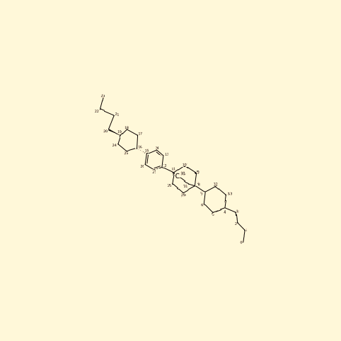 CCCCC1CCC(C23CCC(c4ccc([C@H]5CC[C@H](CCCC)CC5)cc4)(CC2)CC3)CC1